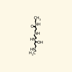 CCCNC(=O)CCNCCNC(O)CCNCC